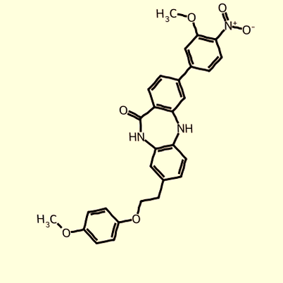 COc1ccc(OCCc2ccc3c(c2)NC(=O)c2ccc(-c4ccc([N+](=O)[O-])c(OC)c4)cc2N3)cc1